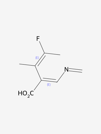 C=N/C=C(C(=O)O)\C(C)=C(/C)F